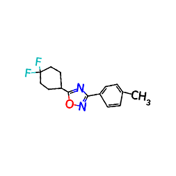 Cc1ccc(-c2noc(C3CCC(F)(F)CC3)n2)cc1